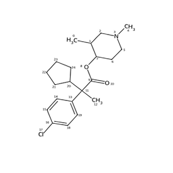 CC1CN(C)CCC1OC(=O)C(C)(c1ccc(Cl)cc1)C1CCCC1